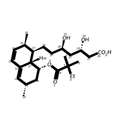 CCC(C)(C)C(=O)O[C@@H]1C[C@H](C)C=C2C=C[C@@H](C)[C@@H](CC[C@@H](O)C[C@H](O)CC(=O)O)[C@@H]21